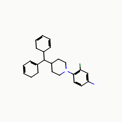 Nc1ccc(N2CCC(C(C3=CC=CCC3)C3C=CC=CC3)CC2)c(F)c1